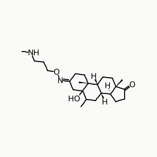 CNCCCON=C1CC[C@]2(C)[C@@H]3CC[C@]4(C)C(=O)CC[C@H]4[C@@H]3CC(C)C2(O)C1